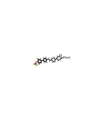 CCCCC[SiH]1CCC(C2CCC(CCc3ccc(-c4cc(F)c(OC(F)F)c(F)c4)cc3)CC2)CC1